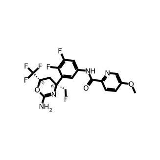 COc1ccc(C(=O)Nc2cc(F)c(F)c([C@]3(CF)C[C@@H](C(F)(F)F)OC(N)=N3)c2)nc1